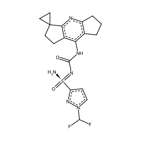 N[S@@](=O)(=NC(=O)Nc1c2c(nc3c1CCC31CC1)CCC2)c1ccn(C(F)F)n1